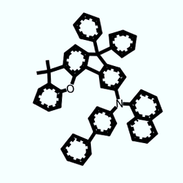 CC1(C)c2ccccc2Oc2c1ccc1c2-c2cc(N(c3ccc(-c4ccccc4)cc3)c3cccc4ccccc34)ccc2C1(c1ccccc1)c1ccccc1